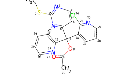 CSc1nccc(C(OC(C)=O)(c2ccccn2)c2cccnc2Cl)n1